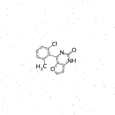 Cc1cccc(Cl)c1-c1nc(=O)[nH]c2ccoc12